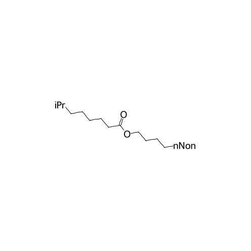 CCCCCCCCCCCCCOC(=O)CCCCCC(C)C